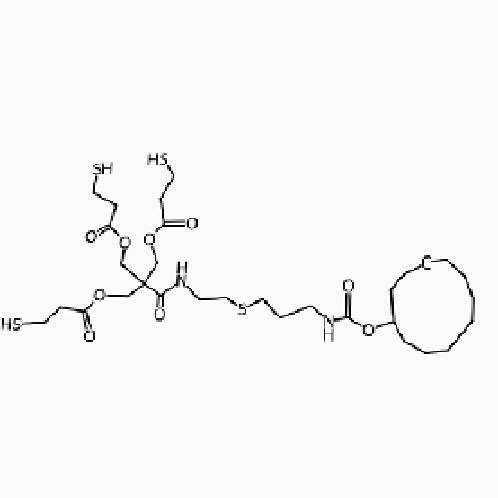 O=C(CCS)OCC(COC(=O)CCS)(COC(=O)CCS)C(=O)NCCSCCCNC(=O)OC1CCCCCCCCCC1